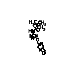 CC(C)(C)OC(=O)Nc1nnc(OCc2cnc(C=O)cn2)s1